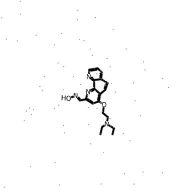 CCN(CC)CCOc1cc(C=NO)nc2c1ccc1cccnc12